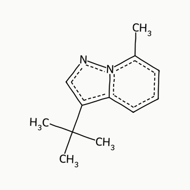 Cc1cccc2c(C(C)(C)C)cnn12